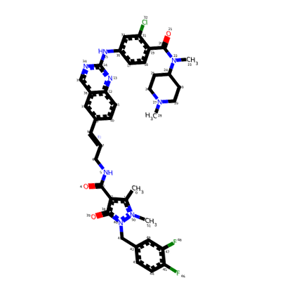 Cc1c(C(=O)NC/C=C/c2ccc3nc(Nc4ccc(C(=O)N(C)C5CCN(C)CC5)c(Cl)c4)ncc3c2)c(=O)n(Cc2ccc(F)c(F)c2)n1C